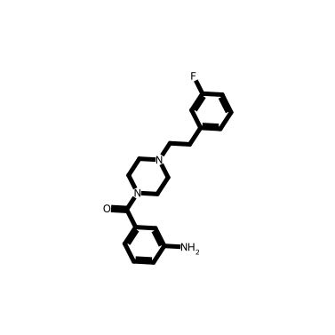 Nc1cccc(C(=O)N2CCN(CCc3cccc(F)c3)CC2)c1